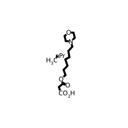 CCCC.O=C(O)CC(=O)OCCCCCCCN1CCOCC1